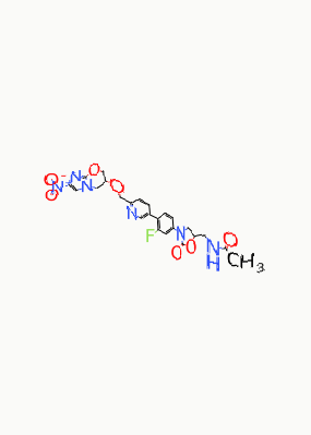 CC(=O)NCC1CN(c2ccc(-c3ccc(COC4COc5nc([N+](=O)[O-])cn5C4)nc3)c(F)c2)C(=O)O1